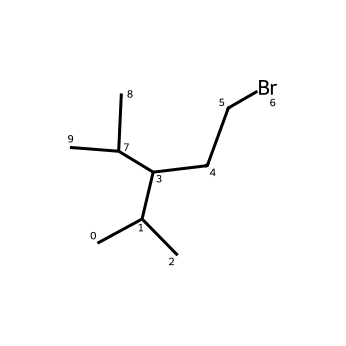 CC(C)C(CCBr)C(C)C